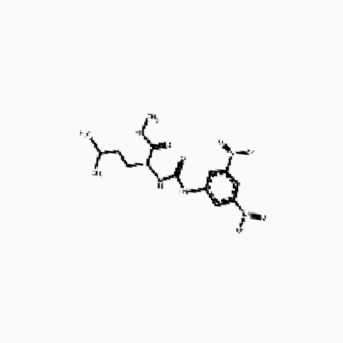 CNC(=O)[C@H](CCC(C)C)NC(=O)Nc1cc([N+](=O)[O-])cc([N+](=O)[O-])c1